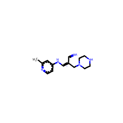 Cc1cc(N/C=C(\C=N)CN2CCNCC2)ccn1